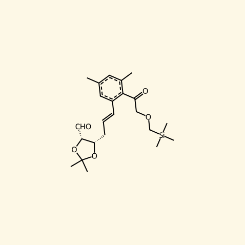 Cc1cc(C)c(C(=O)COC[Si](C)(C)C)c(/C=C/C[C@@H]2OC(C)(C)O[C@@H]2C=O)c1